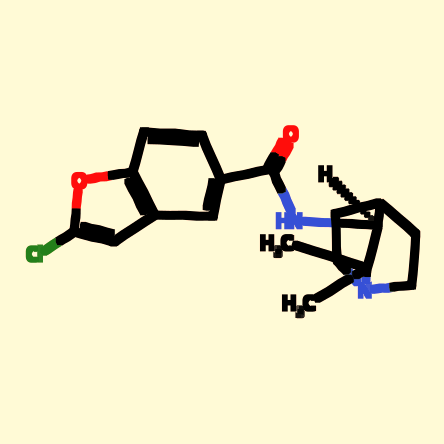 CC1(C)[C@@H](NC(=O)c2ccc3oc(Cl)cc3c2)C2CCN1CC2